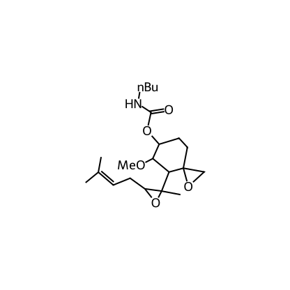 CCCCNC(=O)OC1CCC2(CO2)C(C2(C)OC2CC=C(C)C)C1OC